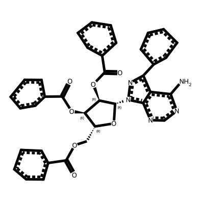 Nc1ncnc2c1c(-c1ccccc1)nn2[C@@H]1O[C@H](COC(=O)c2ccccc2)[C@@H](OC(=O)c2ccccc2)[C@H]1OC(=O)c1ccccc1